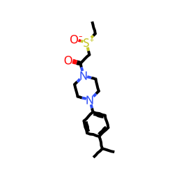 CC[S+]([O-])CC(=O)N1CCN(c2ccc(C(C)C)cc2)CC1